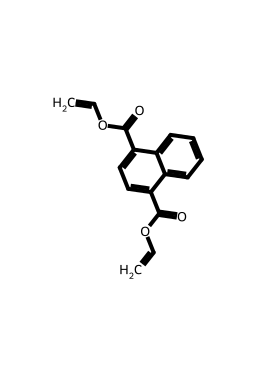 C=COC(=O)c1ccc(C(=O)OC=C)c2ccccc12